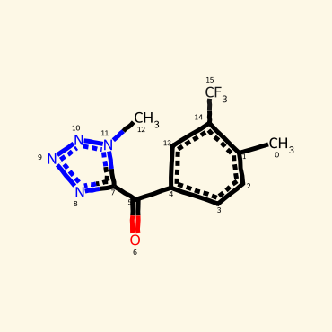 Cc1ccc(C(=O)c2nnnn2C)cc1C(F)(F)F